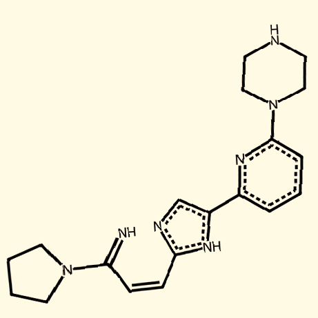 N=C(/C=C\c1ncc(-c2cccc(N3CCNCC3)n2)[nH]1)N1CCCC1